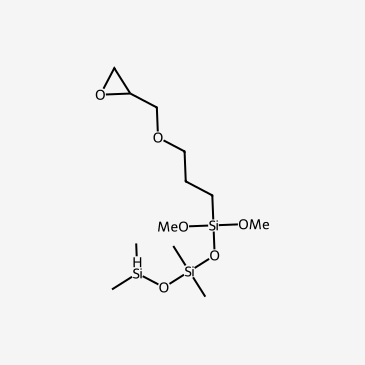 CO[Si](CCCOCC1CO1)(OC)O[Si](C)(C)O[SiH](C)C